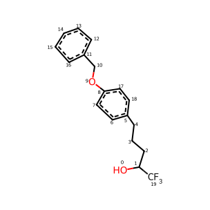 OC(CCCc1ccc(OCc2ccccc2)cc1)C(F)(F)F